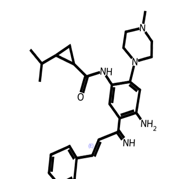 CC(C)C1CC1C(=O)Nc1cc(C(=N)/C=C/c2ccccc2)c(N)cc1N1CCN(C)CC1